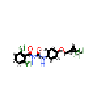 O=C(NC(=O)c1c(Cl)cccc1Cl)Nc1ccc(OCC2CC2(Cl)Cl)cc1